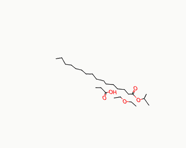 CCC(=O)O.CCCCCCCCCCCCCCCC(=O)OC(C)C.CCOCC